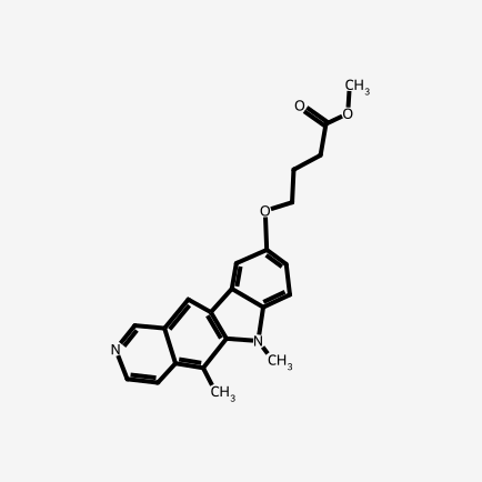 COC(=O)CCCOc1ccc2c(c1)c1cc3cnccc3c(C)c1n2C